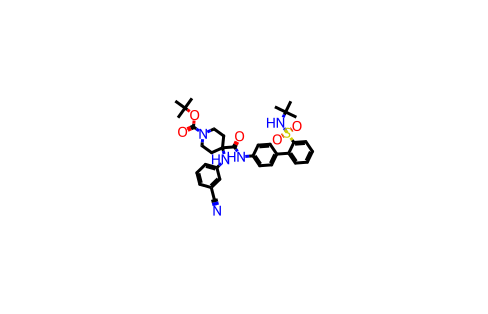 CC(C)(C)NS(=O)(=O)c1ccccc1-c1ccc(NC(=O)C2(Nc3cccc(C#N)c3)CCN(C(=O)OC(C)(C)C)CC2)cc1